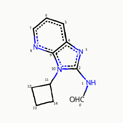 O=CNc1nc2cccnc2n1C1CCC1